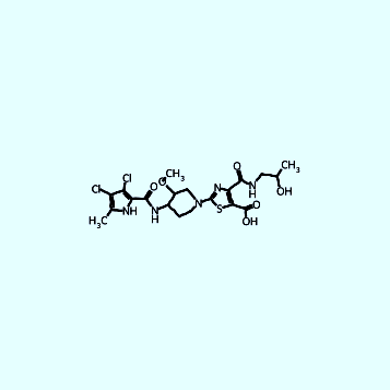 COC1CN(c2nc(C(=O)NCC(C)O)c(C(=O)O)s2)CCC1NC(=O)c1[nH]c(C)c(Cl)c1Cl